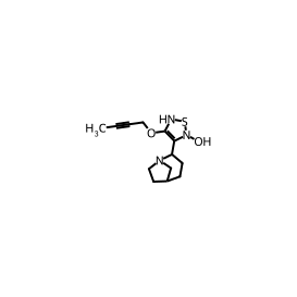 CC#CCOC1=C(C2CCC3CCN2C3)N(O)SN1